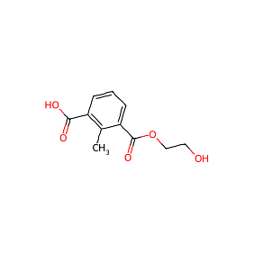 Cc1c(C(=O)O)cccc1C(=O)OCCO